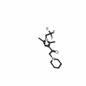 Cc1cc(C(=O)CN2CCCCC2)c(C)n1CC(F)(F)F